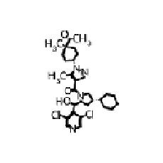 Cc1c(C(=O)N2C[C@H](C3CCCCC3)CC2C(O)c2c(Cl)cncc2Cl)cnn1[C@H]1CC[C@](C)(C(C)=O)CC1